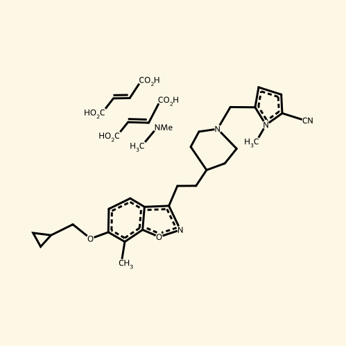 CNC.Cc1c(OCC2CC2)ccc2c(CCC3CCN(Cc4ccc(C#N)n4C)CC3)noc12.O=C(O)C=CC(=O)O.O=C(O)C=CC(=O)O